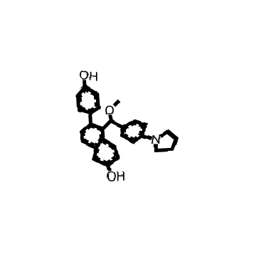 COC(c1ccc(N2CCCC2)cc1)c1c(-c2ccc(O)cc2)ccc2cc(O)ccc12